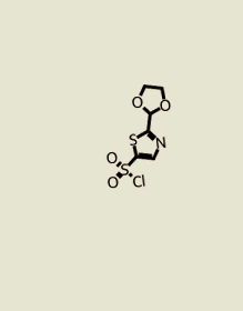 O=S(=O)(Cl)c1cnc(C2OCCO2)s1